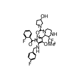 COc1c(C2C(C(F)(F)F)NCCN2C(=O)N2CCC(O)C2)nn(C(=O)c2ccccc2F)c1NCc1ccc(F)cc1